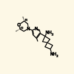 Cc1cc(N2C[C@@H](C)O[C@@H](C)C2)ncc1C1(N)CC2(CC(N)C2)C1